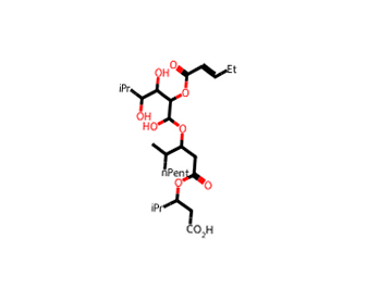 CCC=CC(=O)OC(C(O)OC(CC(=O)OC(CC(=O)O)C(C)C)C(C)CCCCC)C(O)C(O)C(C)C